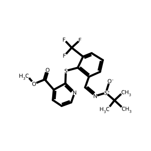 COC(=O)c1cccnc1Sc1c(/C=N\[S+]([O-])C(C)(C)C)cccc1C(F)(F)F